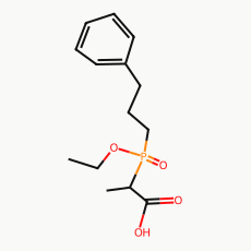 CCOP(=O)(CCCc1ccccc1)C(C)C(=O)O